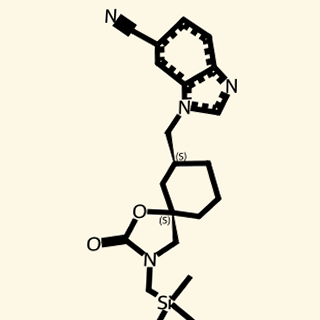 C[Si](C)(C)CN1C[C@@]2(CCC[C@H](Cn3cnc4ccc(C#N)cc43)C2)OC1=O